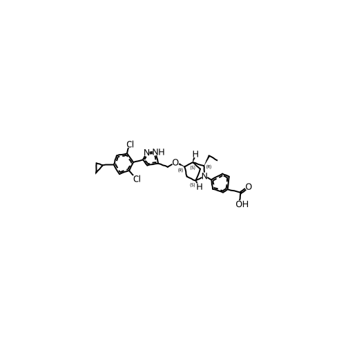 CC[C@@H]1[C@@H]2C[C@@H](C[C@H]2OCc2cc(-c3c(Cl)cc(C4CC4)cc3Cl)n[nH]2)N1c1ccc(C(=O)O)cc1